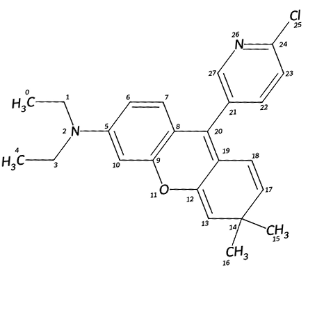 CCN(CC)c1ccc2c(c1)OC1=CC(C)(C)C=CC1=C2c1ccc(Cl)nc1